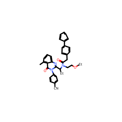 CCOCCN(C(=O)Cc1ccc(-c2ccccc2)cc1)C(CC)c1nc2cccc(C)c2c(=O)n1-c1ccc(C#N)cc1